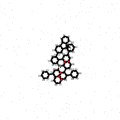 CC1(C)c2ccccc2-c2ccc(-c3cccc(N(c4cc(-c5ccccc5)c5ccccc5c4)c4ccccc4-c4ccccc4-c4ccccc4)c3-c3cccc(-c4ccccc4)c3)cc21